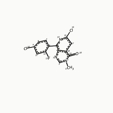 Cn1cnc2c(-c3ccc(Cl)cc3F)nc(Cl)cc2c1=O